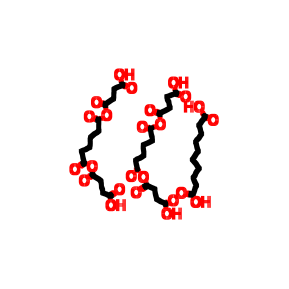 O=C(O)CCC(=O)OC(=O)CCCCC(=O)OC(=O)CCC(=O)O.O=C(O)CCC(=O)OC(=O)CCCCC(=O)OC(=O)CCC(=O)O.O=C(O)CCCCCCCCC(=O)O